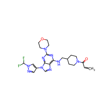 C=CC(=O)N1CCC(CNc2nc(N3CCOCC3)nc3c2ncn3-c2cnn(C(F)F)c2)CC1